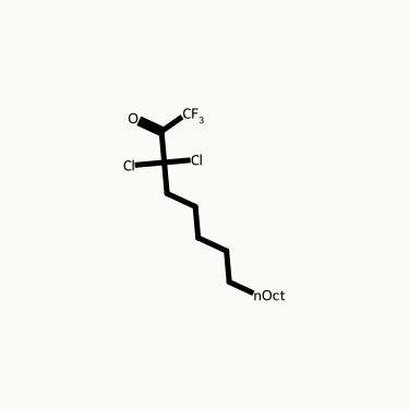 CCCCCCCCCCCCCC(Cl)(Cl)C(=O)C(F)(F)F